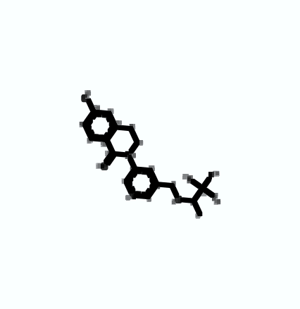 CC(OCc1cncc(N2CCc3cc(Cl)ccc3C2=O)c1)C(F)(F)F